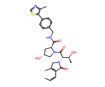 C/C=C\C1=C(C)CN([C@H](C(=O)N2C[C@H](O)C[C@H]2C(=O)NCc2ccc(-c3scnc3C)cc2)[C@H](C)O)C1=O